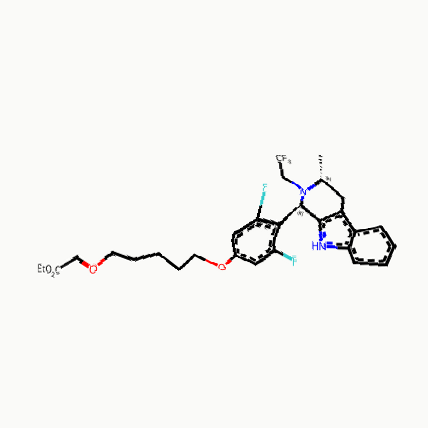 CCOC(=O)COCCCCCOc1cc(F)c([C@@H]2c3[nH]c4ccccc4c3C[C@@H](C)N2CC(F)(F)F)c(F)c1